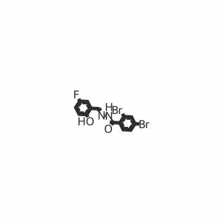 O=C(NN=Cc1cc(F)ccc1O)c1ccc(Br)cc1Br